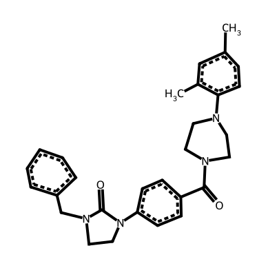 Cc1ccc(N2CCN(C(=O)c3ccc(N4CCN(Cc5ccccc5)C4=O)cc3)CC2)c(C)c1